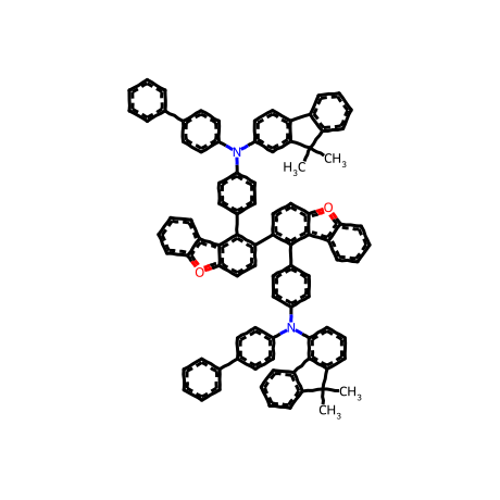 CC1(C)c2ccccc2-c2ccc(N(c3ccc(-c4ccccc4)cc3)c3ccc(-c4c(-c5ccc6oc7ccccc7c6c5-c5ccc(N(c6ccc(-c7ccccc7)cc6)c6cccc7c6-c6ccccc6C7(C)C)cc5)ccc5oc6ccccc6c45)cc3)cc21